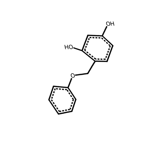 Oc1ccc(COc2ccccc2)c(O)c1